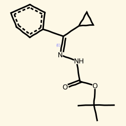 CC(C)(C)OC(=O)N/N=C(/c1ccccc1)C1CC1